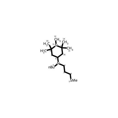 CCCCN(CCCSC)C1CC(C)(C)N(C)C(C)(C)C1